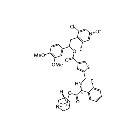 COc1ccc(C(Cc2c(Cl)c[n+]([O-])cc2Cl)OC(=O)c2csc(CN[C@H](C(=O)O[C@H]3CN4CCC3CC4)c3ccccc3F)c2)cc1OC